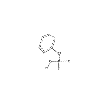 O=P(Cl)(OCl)Oc1ccccc1